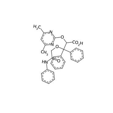 Cc1cc(C)nc(OC(C(=O)O)C(OCC(=O)Nc2ccccc2)(c2ccccc2)c2ccccc2)n1